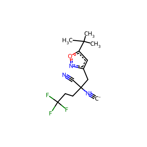 [C-]#[N+]C(C#N)(CCC(F)(F)F)Cc1cc(C(C)(C)C)on1